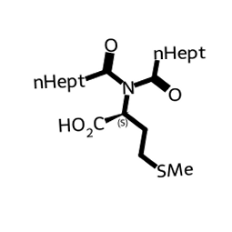 CCCCCCCC(=O)N(C(=O)CCCCCCC)[C@@H](CCSC)C(=O)O